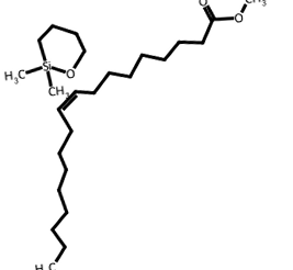 CCCCCCCC/C=C\CCCCCCCC(=O)OC.C[Si]1(C)CCCCO1